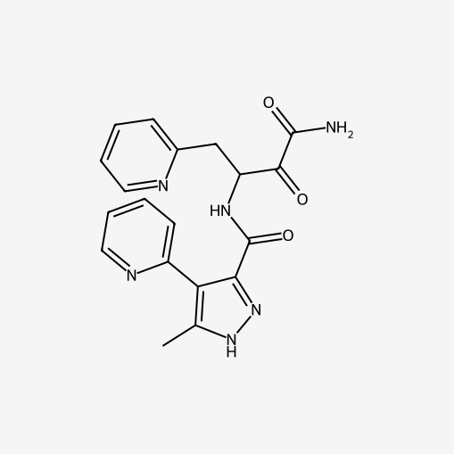 Cc1[nH]nc(C(=O)NC(Cc2ccccn2)C(=O)C(N)=O)c1-c1ccccn1